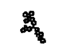 CC1(C)c2cc(C(c3ccc4ccc(C5(c6ccccc6)c6ccccc6-c6ccccc65)cc4c3)c3ccc4c(c3)oc3ccccc34)ccc2-c2ccc3c(oc4ccccc43)c21